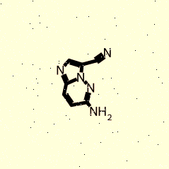 N#Cc1cnc2ccc(N)nn12